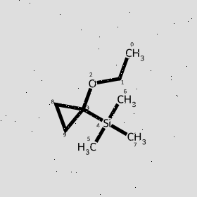 CCOC1([Si](C)(C)C)CC1